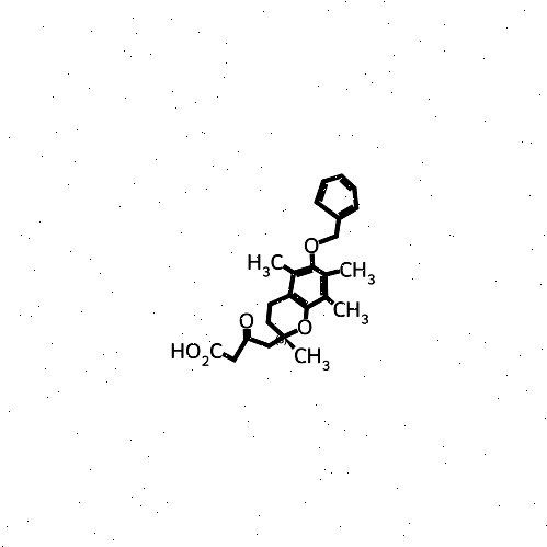 Cc1c(C)c2c(c(C)c1OCc1ccccc1)CC[C@@](C)(CC(=O)CC(=O)O)O2